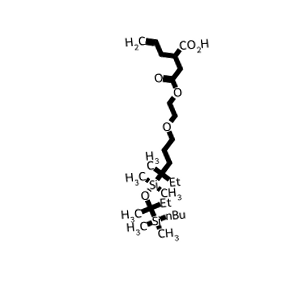 C=CCC(CC(=O)OCCOCCCC(C)(CC)[Si](C)(C)OC(C)(CC)[Si](C)(C)CCCC)C(=O)O